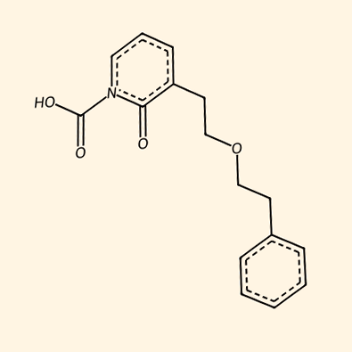 O=C(O)n1cccc(CCOCCc2ccccc2)c1=O